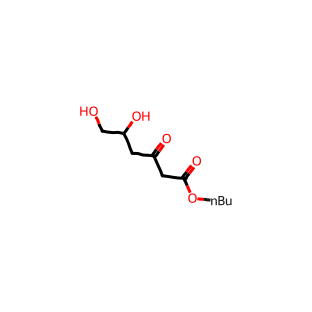 CCCCOC(=O)CC(=O)CC(O)CO